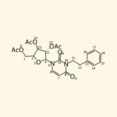 CC(=O)OCC1OC(n2ccc(=O)n(CCc3ccccc3)c2=O)[C@@H](OC(C)=O)C1OC(C)=O